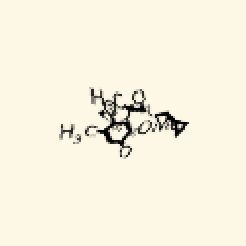 CO[C@@H]1C(=O)C=C(C)[C@]2(CO2)[C@H]1C1(C)O[C@@H]1CC=C1CC1